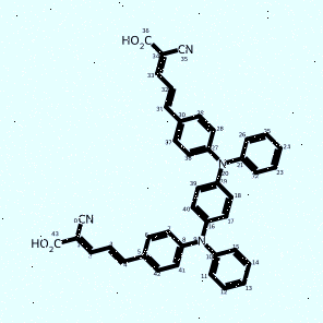 N#C/C(=C\C=C\c1ccc(N(c2ccccc2)c2ccc(N(c3ccccc3)c3ccc(/C=C/C=C(\C#N)C(=O)O)cc3)cc2)cc1)C(=O)O